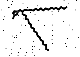 CCCCCCCCCCCCCCCCCCC(CCCCCCCCCCCCCCCCC)CN1C=CN(C)C1